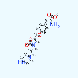 COC(=O)C(N)Cc1ccc(OCC2CN(CCCN3CCNCC3)C(=O)O2)cc1